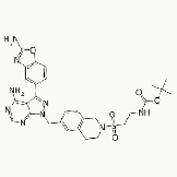 CC(C)(C)OC(=O)NCCS(=O)(=O)N1CCc2cc(Cn3nc(-c4ccc5oc(N)nc5c4)c4c(N)ncnc43)ccc2C1